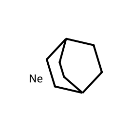 C1CC2CCC1CC2.[Ne]